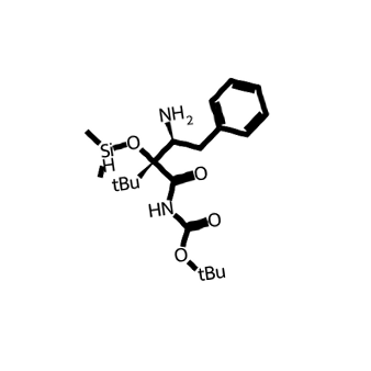 C[SiH](C)O[C@@](C(=O)NC(=O)OC(C)(C)C)([C@@H](N)Cc1ccccc1)C(C)(C)C